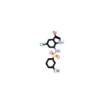 N#CC1CCCC(S(=O)(=O)NC2CC(Cl)CC3C(Br)=CNC23)C1